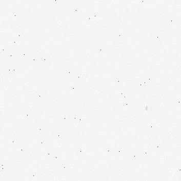 CC(C)O/N=[C]/c1ccc(C2CCCCC2)cc1